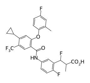 Cc1cc(F)ccc1Oc1cc(C2CC2)c(C(F)(F)F)cc1C(=O)Nc1ccc(F)c(C(F)C(C)C(=O)O)c1